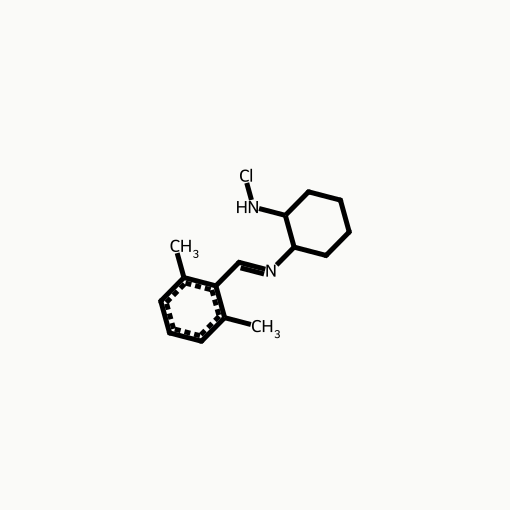 Cc1cccc(C)c1/C=N/C1CCCCC1NCl